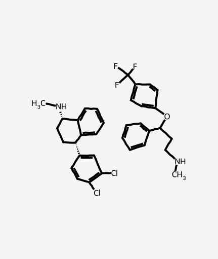 CNCCC(Oc1ccc(C(F)(F)F)cc1)c1ccccc1.CN[C@H]1CC[C@@H](c2ccc(Cl)c(Cl)c2)c2ccccc21